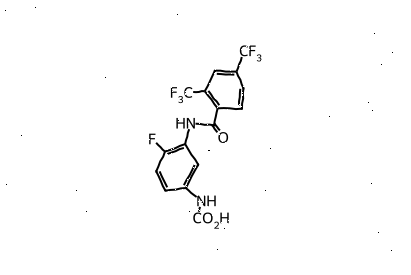 O=C(O)Nc1ccc(F)c(NC(=O)c2ccc(C(F)(F)F)cc2C(F)(F)F)c1